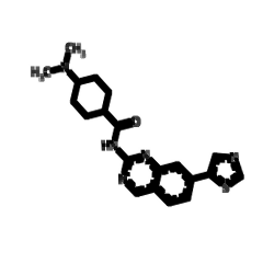 CN(C)C1CCC(C(=O)Nc2ncc3ccc(-c4cncs4)cc3n2)CC1